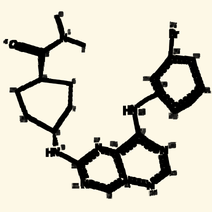 CN(C)C(=O)[C@H]1CC[C@H](Nc2ncc3ncnc(Nc4cccc(Br)c4)c3n2)CC1